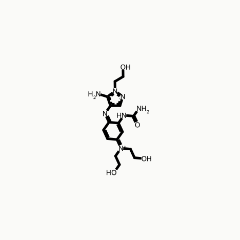 NC(=O)NC1=CC(=[N+](CCO)CCO)C=C/C1=N/c1cnn(CCO)c1N